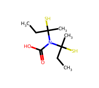 CCC(C)(S)N(C(=O)O)C(C)(S)CC